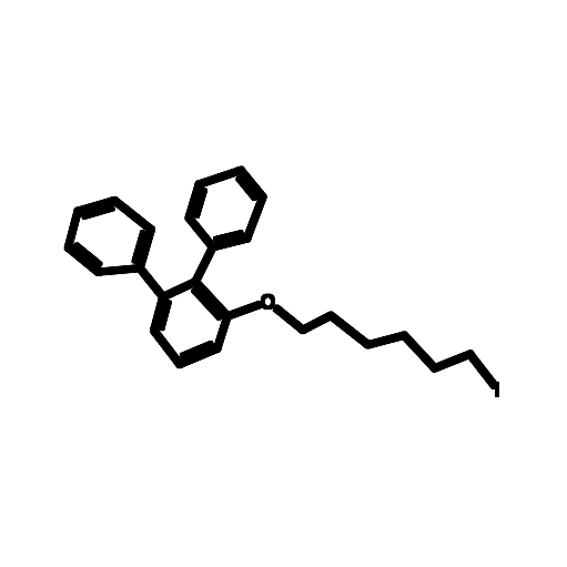 ICCCCCCOc1cccc(-c2ccccc2)c1-c1ccccc1